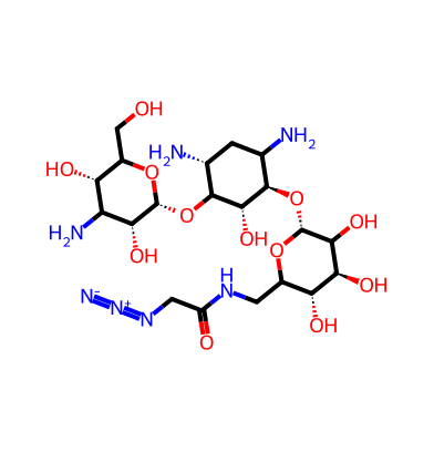 [N-]=[N+]=NCC(=O)NCC1O[C@H](O[C@@H]2C(N)C[C@@H](N)C(O[C@H]3OC(CO)[C@@H](O)C(N)[C@H]3O)[C@H]2O)C(O)[C@@H](O)[C@@H]1O